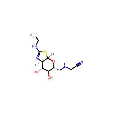 CCNC1=N[C@@H]2[C@@H](O)[C@H](O)[C@@H](CNCC#N)O[C@@H]2S1